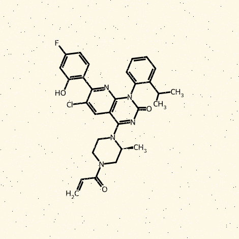 C=CC(=O)N1CCN(c2nc(=O)n(-c3ccccc3C(C)C)c3nc(-c4ccc(F)cc4O)c(Cl)cc23)[C@@H](C)C1